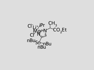 CCC[CH2][Sn]([CH2]CCC)([CH2]CCC)[c]1cn(C(C)C(=O)OCC)cn1.C[CH](C)[Mg][Cl].[Cl-].[Li+]